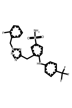 NS(=O)(=O)c1ccc(Nc2ccc(C(F)(F)F)cc2)c(Cc2nnn(Cc3ccccc3F)n2)c1